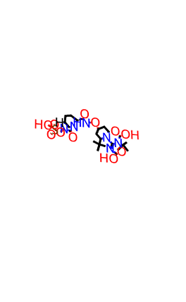 CC(C)(C)C1CC(ONC(=O)[C@@H]2CC[C@@H]3CN2C(=O)N3OS(=O)(=O)O)CCN1C(=NC(=O)O)N(C(=O)O)C(C)(C)C